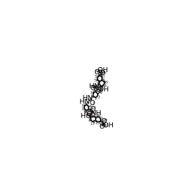 Cc1ccc(NC(=O)Nc2ccc(C)c(S(=O)(=O)Nc3c(O)ccc4cc(S(=O)(=O)O)ccc34)c2)cc1S(=O)(=O)Nc1c(O)ccc2cc(S(=O)(=O)O)ccc12